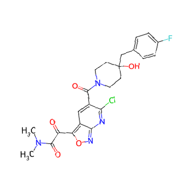 CN(C)C(=O)C(=O)c1onc2nc(Cl)c(C(=O)N3CCC(O)(Cc4ccc(F)cc4)CC3)cc12